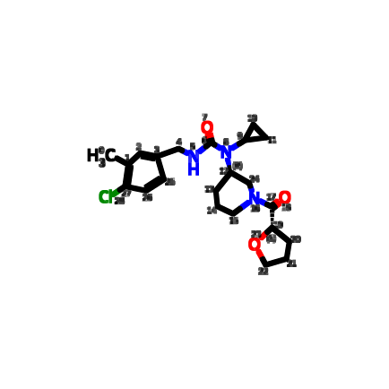 Cc1cc(CNC(=O)N(C2CC2)[C@@H]2CCCN(C(=O)[C@@H]3CCCO3)C2)ccc1Cl